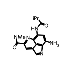 CNC(=O)c1cc2c3c(c(N)cc(NC(=O)C(C)C)c3n1)N=C2